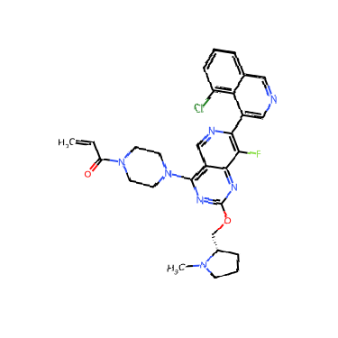 C=CC(=O)N1CCN(c2nc(OC[C@@H]3CCCN3C)nc3c(F)c(-c4cncc5cccc(Cl)c45)ncc23)CC1